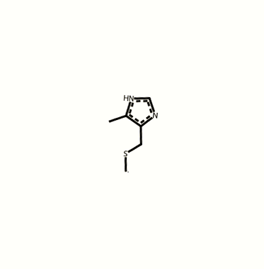 [CH2]SCc1nc[nH]c1C